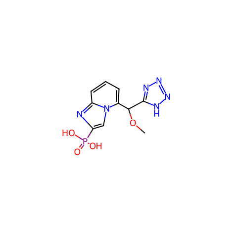 COC(c1nnn[nH]1)c1cccc2nc(P(=O)(O)O)cn12